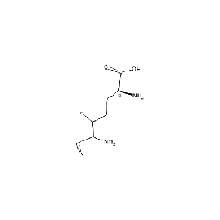 C=CC(N)C(F)CC[C@H](N)C(=O)O